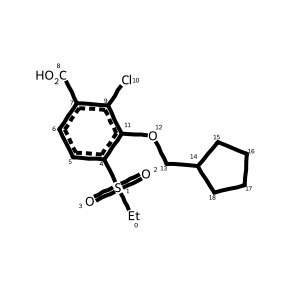 CCS(=O)(=O)c1ccc(C(=O)O)c(Cl)c1OCC1CCCC1